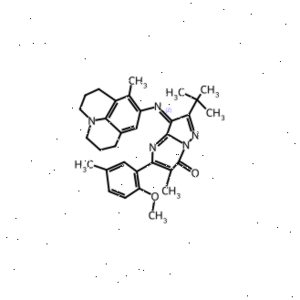 COc1ccc(C)cc1-c1nc2n(c(=O)c1C)N=C(C(C)(C)C)/C2=N/c1cc2c3c(c1C)CCCN3CCC2